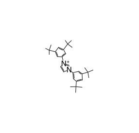 CC(C)(C)c1cc(-n2cc[n+](-c3cc(C(C)(C)C)cc(C(C)(C)C)c3)c2)cc(C(C)(C)C)c1